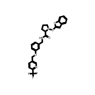 O=C(NCc1cccc(OCc2ccc(C(F)(F)F)nc2)c1)C1CCCN1Sc1cc2ccccc2o1